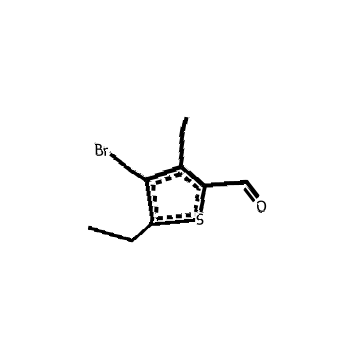 CCc1sc(C=O)c(C)c1Br